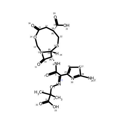 CC(C)(O/N=C(\C(=O)N[C@@H]1C(=O)N2COC(=O)C[C@H](C(=O)O)CS[C@H]12)c1csc(N)n1)C(=O)O